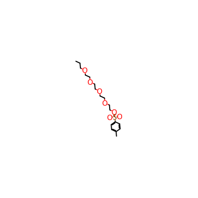 CCCOCCOCCOCCOCCOS(=O)(=O)c1ccc(C)cc1